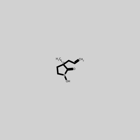 C=CC[C@]1(C)CCN(O)C1=O